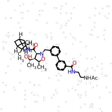 CC(=O)NCCNC(=O)c1cccc(-c2cccc(CN3O[C@@H](C)[C@@H]([C@H](C)O)[C@H]3C(=O)N[C@H]3C[C@H]4C[C@@H]([C@@H]3C)C4(C)C)c2)c1